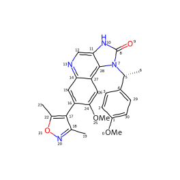 COc1ccc([C@@H](C)n2c(=O)[nH]c3cnc4cc(-c5c(C)noc5C)c(OC)cc4c32)cc1